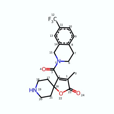 CC1=C(C(=O)N2CCc3ccc(C(F)(F)F)cc3C2)C2(CCNCC2)OC1=O